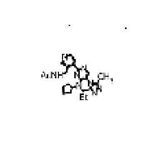 CC[C@@H]1c2nnc(C)n2-c2cnc(-c3ccncc3CNC(C)=O)nc2N1C1CCCC1